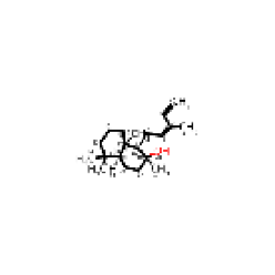 C=CC(C)=CC[C@@H]1[C@@]2(C)CCCC(C)(C)[C@@H]2CC[C@@]1(C)O